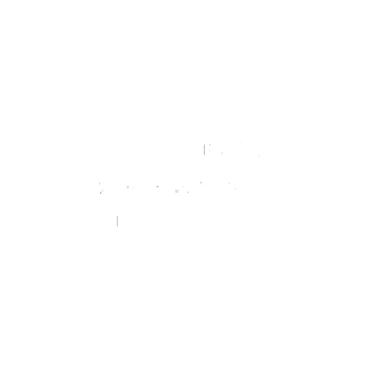 Fc1ccccc1CSOSCc1ccccc1F